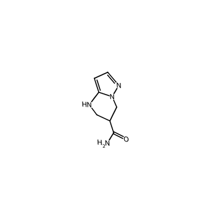 NC(=O)C1CNc2ccnn2C1